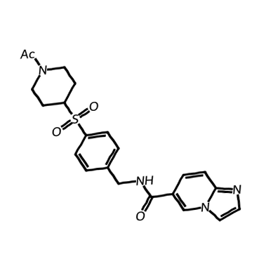 CC(=O)N1CCC(S(=O)(=O)c2ccc(CNC(=O)c3ccc4nccn4c3)cc2)CC1